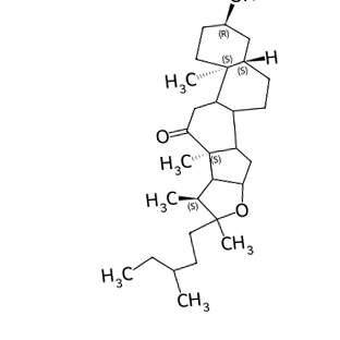 CCC(C)CCC1(C)OC2CC3C4CC[C@H]5C[C@H](O)CC[C@]5(C)C4CC(=O)[C@]3(C)C2[C@@H]1C